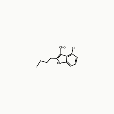 O=Cc1c(CCCI)[nH]c2cccc(Cl)c12